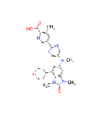 Cc1cc(-c2ncc(N(C)c3cc(C4CCOCC4)c4c(c3)n(C)c(=O)n4C)cn2)cnc1C(=O)O